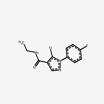 CCNC(=O)c1cnn(-c2ccc(F)cc2)c1Cl